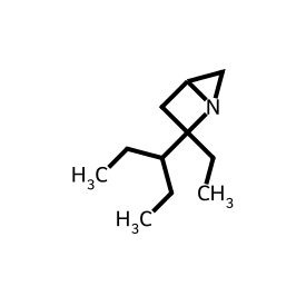 CCC(CC)C1(CC)CC2CN21